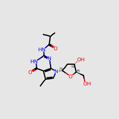 Cc1cn([C@@H]2C[C@H](O)[C@@H](CO)O2)c2nc(NC(=O)C(C)C)[nH]c(=O)c12